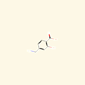 NCc1ccc(C(=O)O)c(O)c1